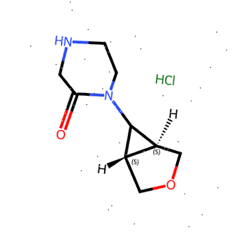 Cl.O=C1CNCCN1C1[C@H]2COC[C@H]12